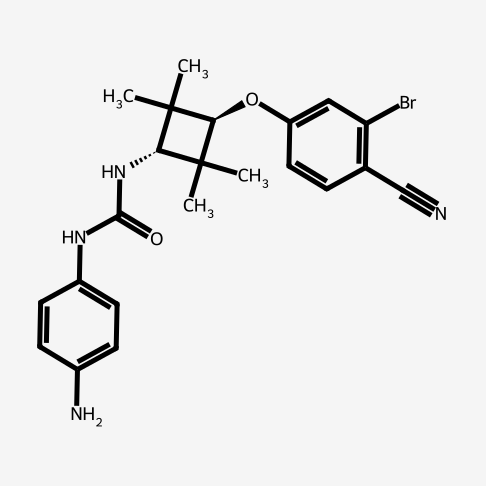 CC1(C)[C@H](NC(=O)Nc2ccc(N)cc2)C(C)(C)[C@H]1Oc1ccc(C#N)c(Br)c1